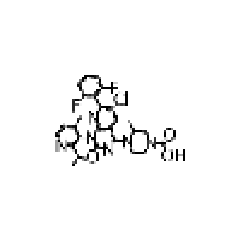 Cc1ccnc(C(C)C)c1-n1c(=O)nc(N2CCN(C(=O)O)CC2C)c2cc(Cl)c(-c3c(F)cccc3F)nc21